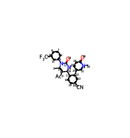 CC(=O)C1=C(C)N(c2cccc(C(F)(F)F)c2)C(=O)N(C)C1c1ccc(C#N)cc1-c1ccc(=O)n(C)c1